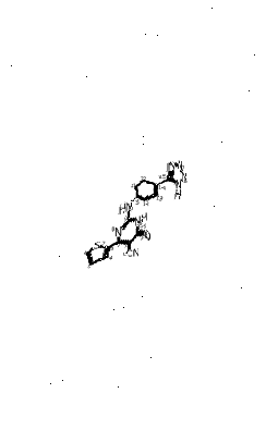 N#Cc1c(-c2cccs2)nc(N[C@H]2CC[C@H](c3nnn[nH]3)CC2)[nH]c1=O